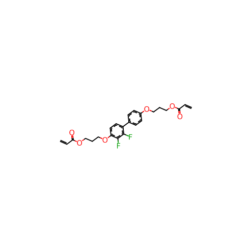 C=CC(=O)OCCCOc1ccc(-c2ccc(OCCCOC(=O)C=C)c(F)c2F)cc1